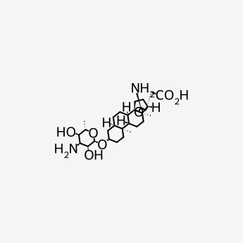 C[C@@H]1O[C@@H](O[C@@H]2CC[C@@]3(C)[C@H](CC[C@@H]4[C@@H]3CC[C@]3(C)[C@@H]5CC[C@]43O[C@@H](N)[C@H]5CC(=O)O)C2)[C@H](O)[C@@H](N)[C@H]1O